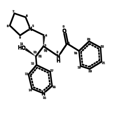 O=C(N[C@@H](CN1CCCC1)[C@@H](O)c1ccncc1)c1ccccc1